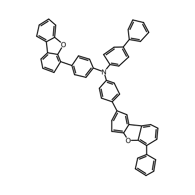 c1ccc(-c2ccc(N(c3ccc(-c4ccc5oc6c(-c7ccccc7)cccc6c5c4)cc3)c3ccc(-c4cccc5c4oc4ccccc45)cc3)cc2)cc1